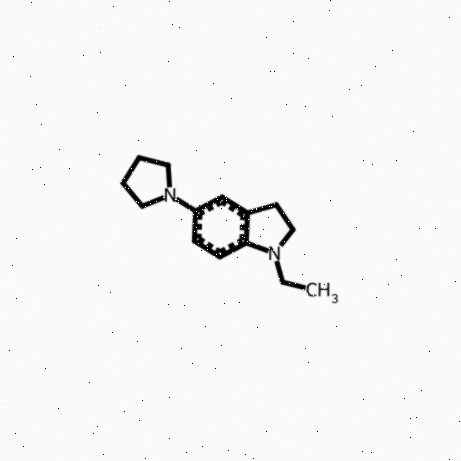 CCN1CCc2cc(N3CCCC3)ccc21